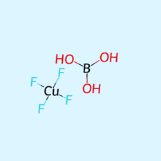 OB(O)O.[F][Cu]([F])([F])[F]